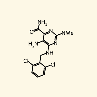 CNc1nc(NCc2c(Cl)cccc2Cl)c(N)c(C(N)=O)n1